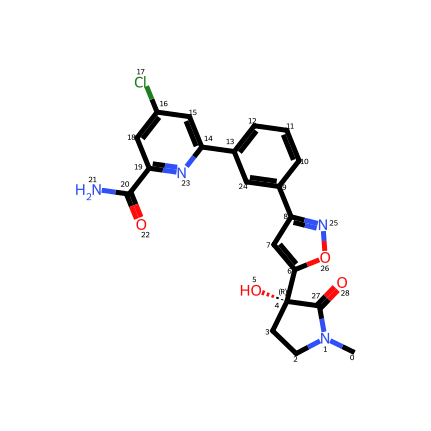 CN1CC[C@@](O)(c2cc(-c3cccc(-c4cc(Cl)cc(C(N)=O)n4)c3)no2)C1=O